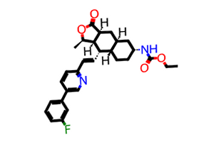 CCOC(=O)N[C@@H]1CC[C@H]2[C@H](C1)C[C@@H]1C(=O)O[C@H](C)[C@@H]1[C@H]2/C=C/c1ccc(-c2cccc(F)c2)cn1